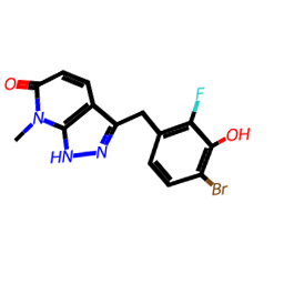 Cn1c(=O)ccc2c(Cc3ccc(Br)c(O)c3F)n[nH]c21